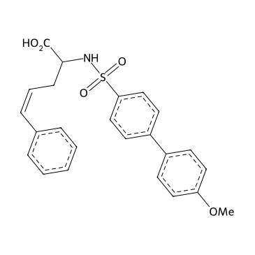 COc1ccc(-c2ccc(S(=O)(=O)NC(C/C=C\c3ccccc3)C(=O)O)cc2)cc1